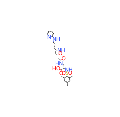 Cc1cc(C)c(S(=O)(=O)NC(CNC(=O)CC2CC(CCCNc3ccccn3)NO2)C(=O)O)c(C)c1